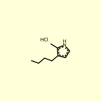 CCCCc1cc[nH]c1C.Cl